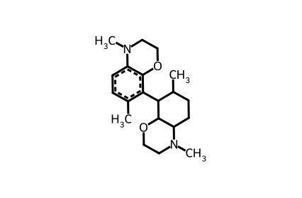 Cc1ccc2c(c1C1C(C)CCC3C1OCCN3C)OCCN2C